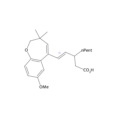 CCCCCC(/C=C/C1=CC(C)(C)COc2ccc(OC)cc21)CC(=O)O